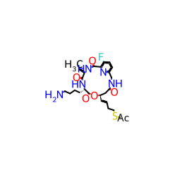 C/C=C1\NC(=O)c2nc(ccc2F)CNC(=O)C[C@@H](/C=C/CCSC(C)=O)OC(=O)[C@H](CCCCN)NC1=O